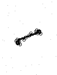 O=C(CCCC(=O)ON1C(=O)CCC1=O)COCCOCC(=O)CCCC(=O)ON1C(=O)CCC1=O